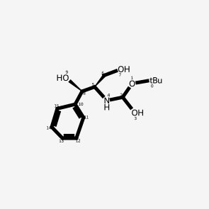 CC(C)(C)OC(O)N[C@H](CO)[C@H](O)c1ccccc1